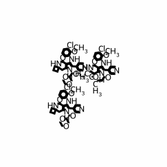 COc1c(Cl)cccc1Nc1c(-c2ccncc2OCC2COCCO2)[nH]c2c1C(=O)NC1(CCC1)C2.COc1c(Cl)cccc1Nc1c(-c2ccncc2OCC[C@@H](C)OC)[nH]c2c1C(=O)N[C@H](C)C2.COc1c(Cl)cccc1Nc1c(-c2ccncc2OC[C@@H]2COCCO2)[nH]c2c1C(=O)NC1(CCC1)C2